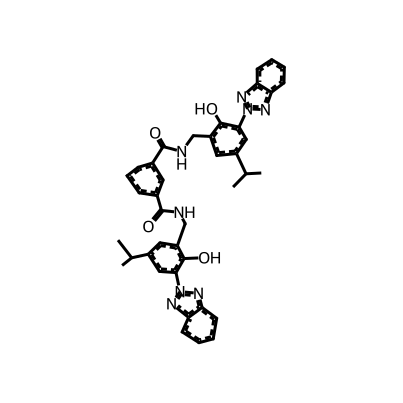 CC(C)c1cc(CNC(=O)c2cccc(C(=O)NCc3cc(C(C)C)cc(-n4nc5ccccc5n4)c3O)c2)c(O)c(-n2nc3ccccc3n2)c1